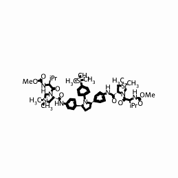 COC(=O)N[C@H](C(=O)N1C[Si](C)(C)C[C@H]1C(=O)Nc1ccc([C@@H]2CC[C@@H](c3ccc(NC(=O)[C@@H]4C[Si](C)(C)CN4C(=O)[C@@H](NC(=O)OC)C(C)C)cc3)N2c2ccc([Si](C)(C)C)cc2)cc1)C(C)C